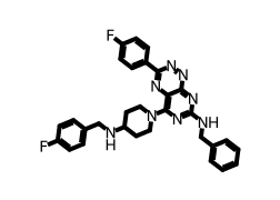 Fc1ccc(CNC2CCN(c3nc(NCc4ccccc4)nc4nnc(-c5ccc(F)cc5)nc34)CC2)cc1